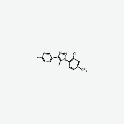 Cc1ccc(-c2nnn(-c3ccc(C(F)(F)F)cc3Cl)c2C)cc1